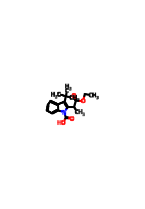 CCOC(=O)C(C)c1c(C(C)(C)C)c2ccccc2n1C(=O)O